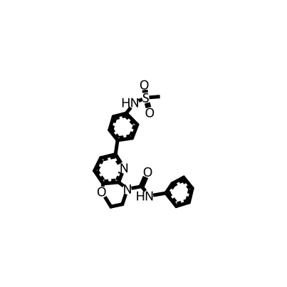 CS(=O)(=O)Nc1ccc(-c2ccc3c(n2)N(C(=O)Nc2ccccc2)CCO3)cc1